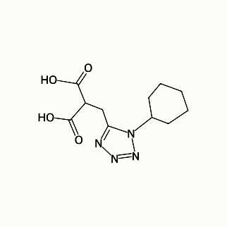 O=C(O)C(Cc1nnnn1C1CCCCC1)C(=O)O